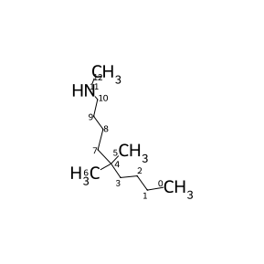 CCCCC(C)(C)CCCCNC